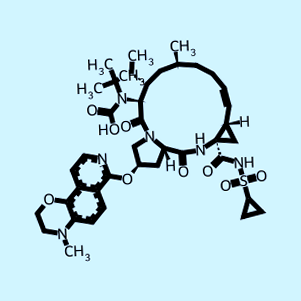 CC[C@@H]1C[C@@H](C)CC/C=C\[C@@H]2C[C@@]2(C(=O)NS(=O)(=O)C2CC2)NC(=O)[C@@H]2C[C@@H](Oc3nccc4c5c(ccc34)N(C)CCO5)CN2C(=O)[C@H]1N(C(=O)O)C(C)(C)C